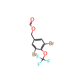 O=COCc1cc(Br)c(OC(F)(F)F)c(Br)c1